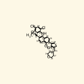 COc1cc(Nc2c(C#N)cnc3c(OC)c(-c4csc(CN5CCOCC5)c4)ccc23)c(Cl)cc1Cl